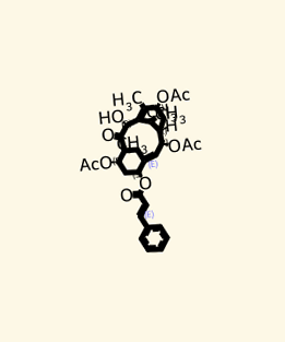 CC(=O)O[C@H]1C[C@H]2[C@@H](OC(C)=O)/C=C3\C[C@](C)(C(=O)[C@H](O)C(=C1C)C2(C)C)[C@@H](OC(C)=O)C[C@@H]3OC(=O)/C=C/c1ccccc1